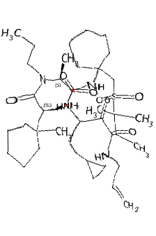 C=CCNC(=O)C(=O)C(CC1CC1)NC(=O)[C@H](C)N(CCC)C(=O)[C@@H](NC(=O)NC1(CS(=O)(=O)C(C)(C)CC)CCCCC1)C1(C)CCCCC1